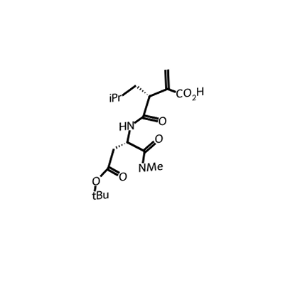 C=C(C(=O)O)[C@@H](CC(C)C)C(=O)N[C@@H](CC(=O)OC(C)(C)C)C(=O)NC